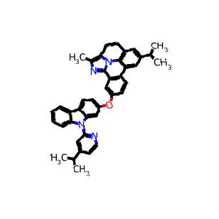 Cc1nc2c3cc(Oc4ccc5c6ccccc6n(-c6cc(C(C)C)ccn6)c5c4)ccc3c3cc(C(C)C)cc4c3n2c1CC4